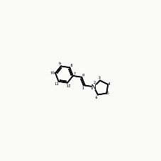 C(=C\N1CCCC1)/c1ccccc1